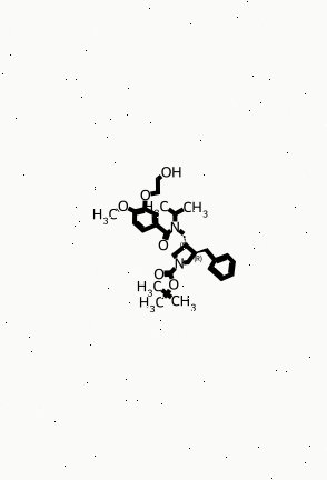 COc1ccc(C(=O)N(C[C@H]2CN(C(=O)OC(C)(C)C)C[C@@H]2Cc2ccccc2)C(C)C)cc1OCCO